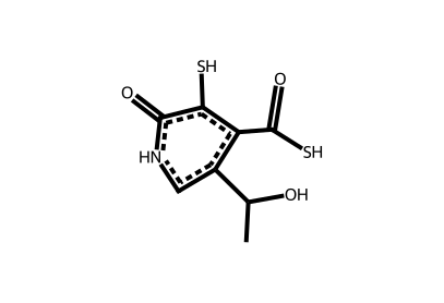 CC(O)c1c[nH]c(=O)c(S)c1C(=O)S